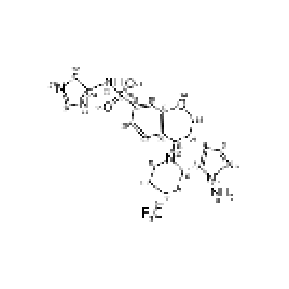 Nn1nccc1[C@@H]1C[C@H](C(F)(F)F)CCN1[C@@H]1CCOc2cc(S(=O)(=O)Nc3ncns3)ccc21